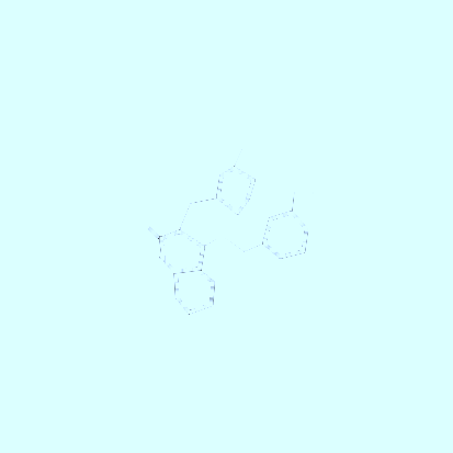 Cc1cccc(COc2c(Cc3cccc(C)c3)c(=O)[nH]c3ccccc23)c1